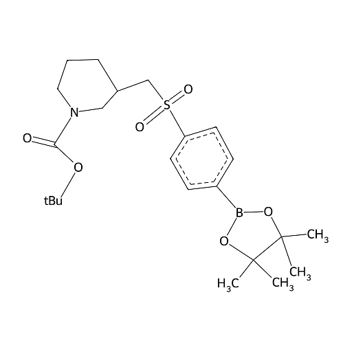 CC(C)(C)OC(=O)N1CCCC(CS(=O)(=O)c2ccc(B3OC(C)(C)C(C)(C)O3)cc2)C1